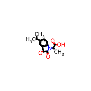 CC(C)c1ccc2c(c1)C(=O)C(=O)N2C(C)C(=O)O